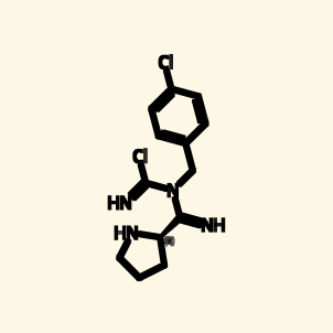 N=C(Cl)N(Cc1ccc(Cl)cc1)C(=N)[C@H]1CCCN1